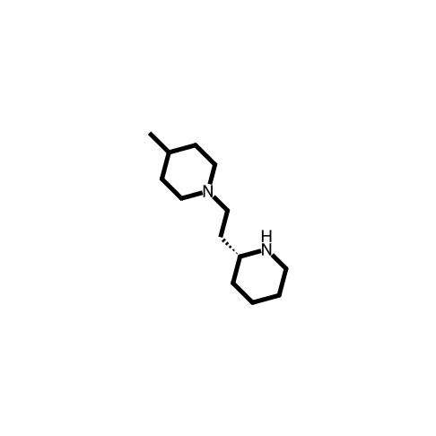 CC1CCN(CC[C@H]2CCCCN2)CC1